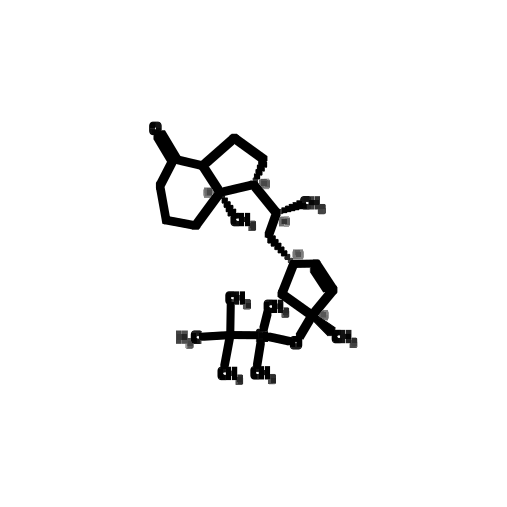 C[C@H](C[C@@H]1C=C[C@](C)(O[Si](C)(C)C(C)(C)C)C1)[C@H]1CCC2C(=O)CCC[C@@]21C